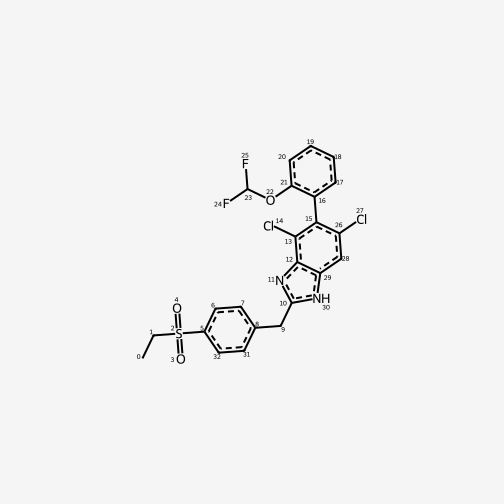 CCS(=O)(=O)c1ccc(Cc2nc3c(Cl)c(-c4ccccc4OC(F)F)c(Cl)cc3[nH]2)cc1